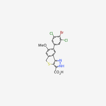 COc1cc2c(cc1-c1cc(Cl)c(Br)c(Cl)c1)-c1n[nH]c(C(=O)O)c1SC2